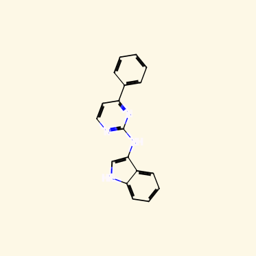 c1ccc(-c2ccnc(Nc3c[nH]c4ccccc34)n2)cc1